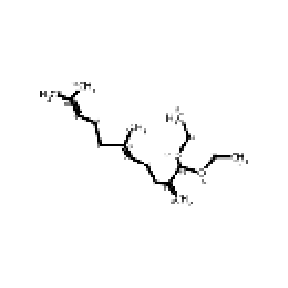 C=C(CC/C=C(\C)CCC=C(C)C)C(OCC)OCC